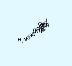 Cc1c(=O)n(C)c(Nc2ccc(I)cc2F)c2c(=O)n(C3CC3)c(=O)n(-c3cccc(NC(=O)CCOCCOCCOCCN)c3)c12